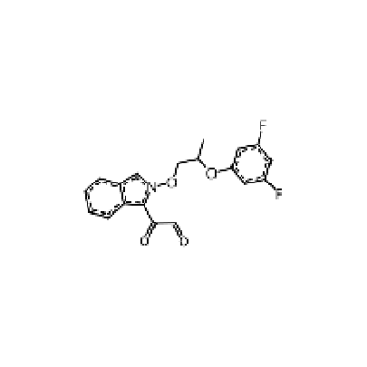 CC(COn1cc2ccccc2c1C(=O)C=O)Oc1cc(F)cc(F)c1